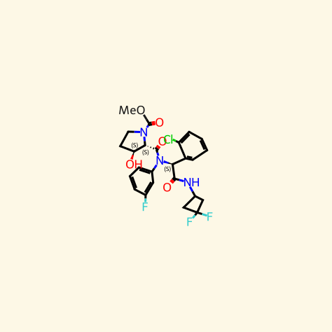 COC(=O)N1CC[C@H](O)[C@H]1C(=O)N(c1cccc(F)c1)[C@H](C(=O)NC1CC(F)(F)C1)c1ccccc1Cl